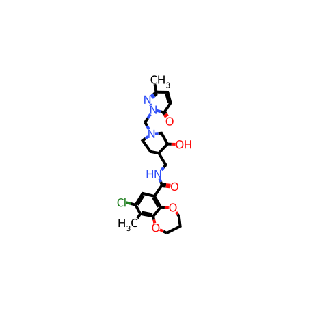 Cc1ccc(=O)n(CN2CCC(CNC(=O)c3cc(Cl)c(C)c4c3OCCCO4)C(O)C2)n1